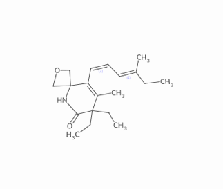 CC/C(C)=C/C=C\C1=C(C)C(CC)(CC)C(=O)NC12COC2